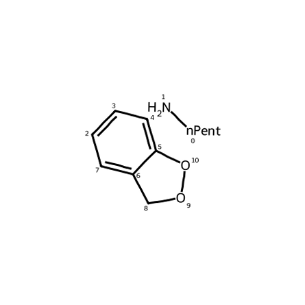 CCCCCN.c1ccc2c(c1)COO2